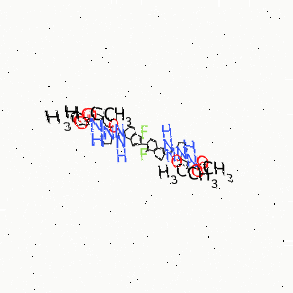 COC(=O)N[C@H](C(=O)N1CCC[C@H]1c1nc2ccc3c(F)c(-c4ccc5c(ccc6nc([C@@H]7CCCN7C(=O)[C@@H](NC(=O)OC)C(C)C)[nH]c65)c4F)ccc3c2[nH]1)C(C)C